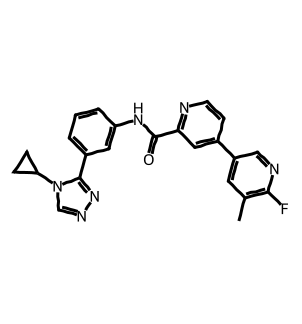 Cc1cc(-c2ccnc(C(=O)Nc3cccc(-c4nncn4C4CC4)c3)c2)cnc1F